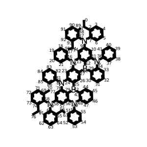 CCc1ccccc1N(c1cc2c3c(c1)N(c1ccccc1)c1cc4c(cc1B3c1ccccc1N2c1ccccc1)B1c2ccccc2N(c2ccccc2)c2cc(N(c3ccccc3CC)c3c(C)cccc3CC)cc(c21)N4c1ccccc1)c1c(C)cccc1CC